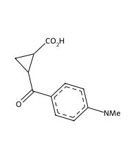 CNc1ccc(C(=O)C2CC2C(=O)O)cc1